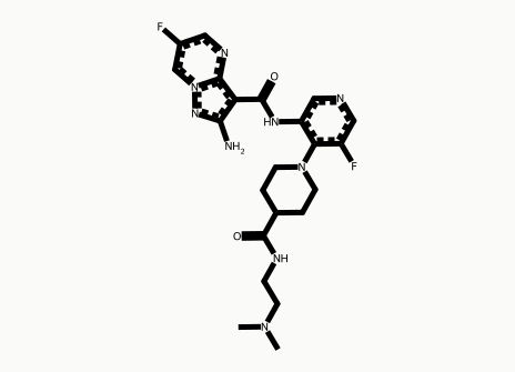 CN(C)CCNC(=O)C1CCN(c2c(F)cncc2NC(=O)c2c(N)nn3cc(F)cnc23)CC1